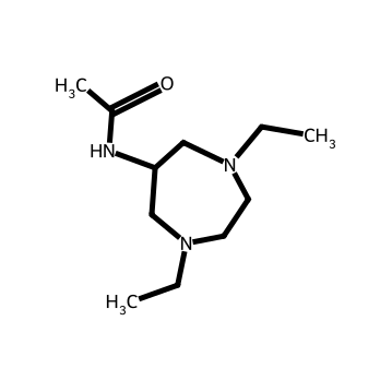 CCN1CCN(CC)CC(NC(C)=O)C1